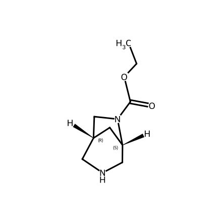 CCOC(=O)N1C[C@H]2CNC[C@@H]1C2